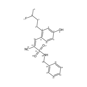 CC(F)CCc1cc(O)ccc1C=C(C#N)S(=O)(=O)NCc1ccccc1